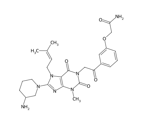 CC(C)=CCn1c(N2CCCC(N)C2)nc2c1c(=O)n(CC(=O)c1cccc(OCC(N)=O)c1)c(=O)n2C